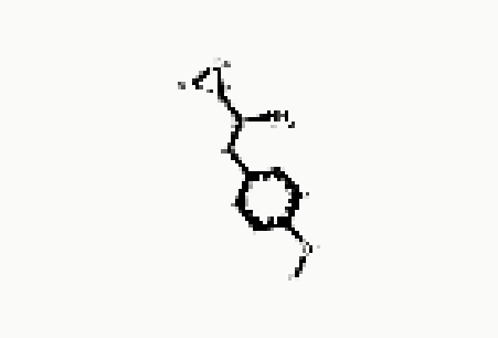 COc1ccc(C[C@H](N)[C@@H]2CO2)cc1